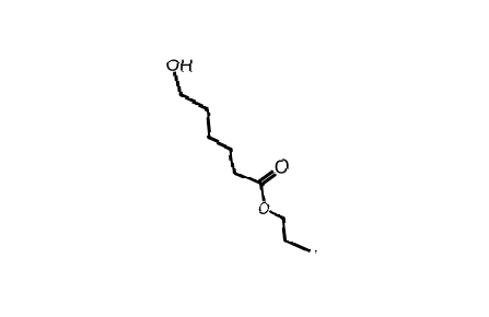 [CH2]CCOC(=O)CCCCCO